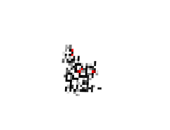 CCOc1cc([C@H](Cc2c(Cl)c[n+](O)cc2Cl)c2cc(CN(C(=O)O[C@H]3CN4CCC3CC4)c3ccccc3OC)ccc2C(=O)[O-])ccc1OC(F)F